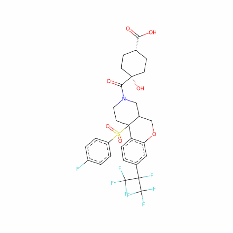 O=C(O)[C@H]1CC[C@](O)(C(=O)N2CCC3(S(=O)(=O)c4ccc(F)cc4)c4ccc(C(F)(C(F)(F)F)C(F)(F)F)cc4OCC3C2)CC1